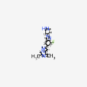 Cc1cn2nc(-c3cc(F)c4nn(C5CCNCC5)cc4c3)cc2c(C)n1